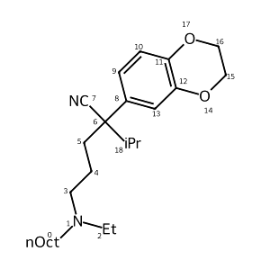 CCCCCCCCN(CC)CCCC(C#N)(c1ccc2c(c1)OCCO2)C(C)C